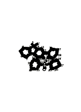 CC1(C)c2ccccc2-c2cc3c(cc21)c1ccccc1n3P(=O)(c1ccccc1)c1ccccc1